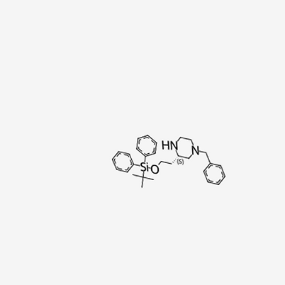 CC(C)(C)[Si](OCC[C@H]1CN(Cc2ccccc2)CCN1)(c1ccccc1)c1ccccc1